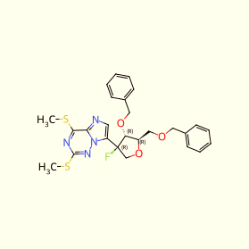 CSc1nc(SC)c2ncc([C@@]3(F)CO[C@H](COCc4ccccc4)[C@H]3OCc3ccccc3)n2n1